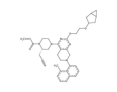 C=CC(=O)N1CCN(c2nc(OCCOC3CC4CC4C3)nc3c2CCN(c2cccc4cccc(C)c24)C3)C[C@@H]1CC#N